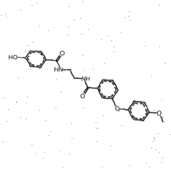 COc1ccc(Oc2cccc(C(=O)NCCNC(=O)c3ccc(O)cc3)c2)cc1